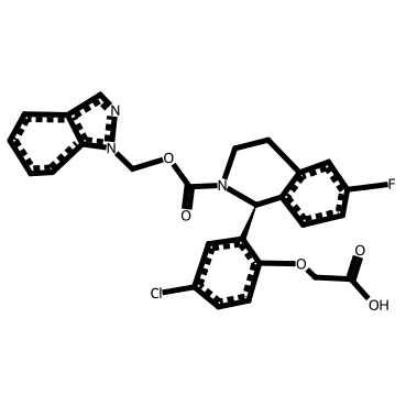 O=C(O)COc1ccc(Cl)cc1[C@@H]1c2ccc(F)cc2CCN1C(=O)OCn1ncc2ccccc21